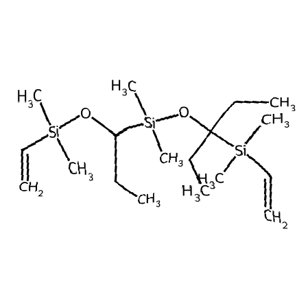 C=C[Si](C)(C)OC(CC)[Si](C)(C)OC(CC)(CC)[Si](C)(C)C=C